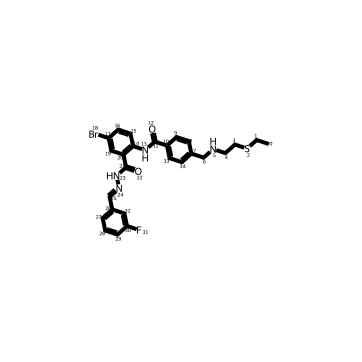 CCSCCNCc1ccc(C(=O)Nc2ccc(Br)cc2C(=O)NN=Cc2cccc(F)c2)cc1